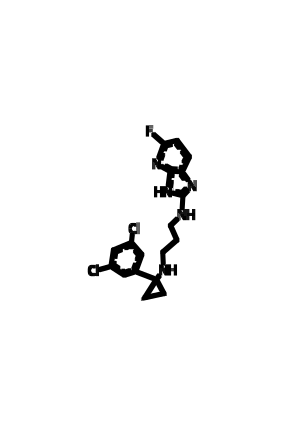 Fc1ccc2nc(NCCCNC3(c4cc(Cl)cc(Cl)c4)CC3)[nH]c2n1